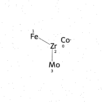 [Co].[Fe][Zr][Mo]